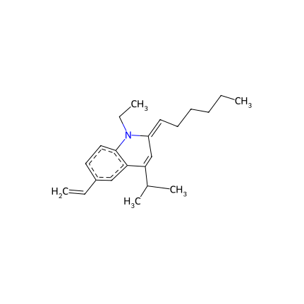 C=Cc1ccc2c(c1)C(C(C)C)=C/C(=C\CCCCC)N2CC